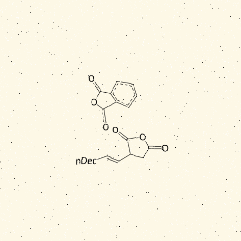 CCCCCCCCCCC=CC1CC(=O)OC1=O.O=C1OC(=O)c2ccccc21